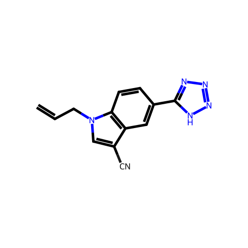 C=CCn1cc(C#N)c2cc(-c3nnn[nH]3)ccc21